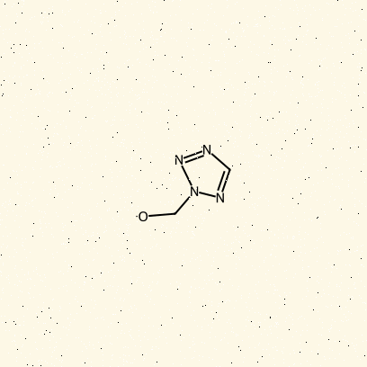 [O]Cn1ncnn1